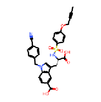 CC#CCOc1ccc(S(=O)(=O)N[C@@H](Cc2cn(Cc3ccc(C#N)cc3)c3ccc(C(=O)O)cc23)C(=O)O)cc1